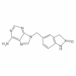 Nc1ncnc2c1ncn2Cc1ccc2c(c1)CC(=O)N2